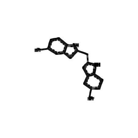 CCCc1ccc2[nH]c(Cc3cc4cc(CCC)ccc4[nH]3)cc2c1